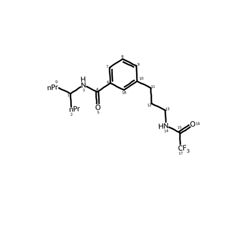 CCCC(CCC)NC(=O)c1cccc(CCCNC(=O)C(F)(F)F)c1